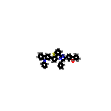 c1ccc(-c2cc(-c3ccc4c(c3)oc3ccccc34)nc(-c3cccc4sc5c(-c6ccc7c8ccccc8n(-c8ccccc8)c7c6)cccc5c34)n2)cc1